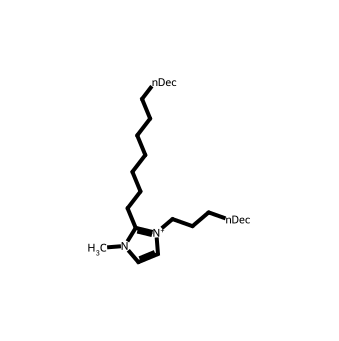 CCCCCCCCCCCCCCCCCc1n(C)cc[n+]1CCCCCCCCCCCCC